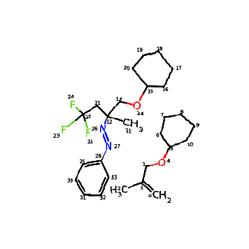 C=C(C)COC1CCCCC1.CC(COC1CCCCC1)(CC(F)(F)F)N=Nc1ccccc1